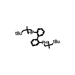 CC(C)(C)CC(C)(C)CPc1ccccc1-c1ccccc1PCC(C)(C)CC(C)(C)C